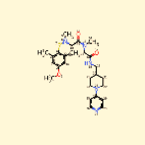 COc1cc(C)c(SN(C)CC(=O)N(C)CC(=O)NCC2CCN(c3ccncc3)CC2)c(C)c1